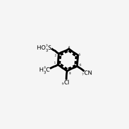 Cc1c(S(=O)(=O)O)ccc(C#N)c1Cl